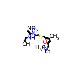 C#CCN/C(=C/[N+](=O)[O-])NCCSCc1oc(CN(C)CC)cc1C